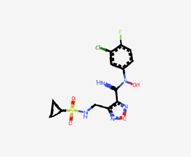 N=C(c1nonc1CNS(=O)(=O)C1CC1)N(O)c1ccc(F)c(Cl)c1